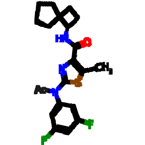 CC(=O)N(c1cc(F)cc(F)c1)c1nc(C(=O)N[C@@H]2CCC23CCCC3)c(C)s1